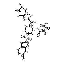 CC1Cc2nc(C(=O)N3CCN(S(=O)(=O)c4cc5ccc(Cl)cc5s4)CC3CC(=O)N(C)S(C)(=O)=O)sc2CN1